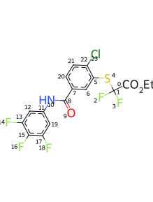 CCOC(=O)C(F)(F)Sc1cc(C(=O)Nc2cc(F)c(F)c(F)c2)ccc1Cl